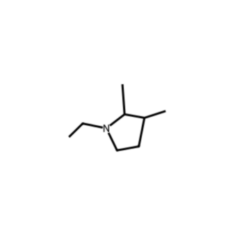 CCN1CCC(C)C1C